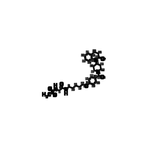 CS(=O)(=O)NCC(=O)NCCCCCOc1ccc(C(=O)N2CCC(N3C(=O)CCc4ccccc43)CC2)cc1